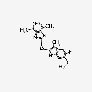 CCc1cc2nc(C3CC3c3nc4c(C)ncc(C)n4n3)c(C)n2cc1F